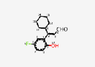 O=CC=C(c1cc(F)ccc1O)C1CCCCC1